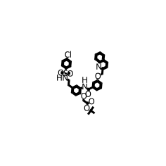 CC(C)(C)OC(=O)COc1ccc(CCNS(=O)(=O)c2ccc(Cl)cc2)cc1NC(=O)c1cccc(OCc2ccc3ccccc3n2)c1